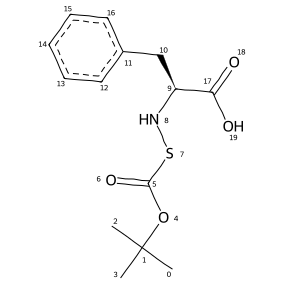 CC(C)(C)OC(=O)SN[C@@H](Cc1ccccc1)C(=O)O